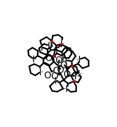 O=C1OI(OC(=O)C(C2CCCC[I]2)(C2CCCC[I]2)C2CCCC[I]2)(OC(=O)C(C2CCCC[I]2)(C2CCCC[I]2)C2CCCC[I]2)(OC(=O)C(C2CCCC[I]2)(C2CCCC[I]2)C2CCCC[I]2)c2c1c(C1CCCC[I]1)c(C1CCCC[I]1)c(C1CCCC[I]1)c2C1CCCC[I]1